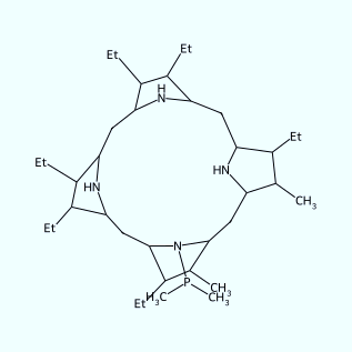 CCC1C2CC3NC(CC4NC(CC5C(CC)C(C)C(CC(N2)C1C)N5P(C)C)C(CC)C4CC)C(CC)C3CC